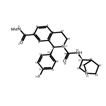 CNC(=O)c1ccc2c(c1)[C@H](c1ccc(F)cc1)N(C(=O)N[C@@H]1CN3CCC1C3)CC2